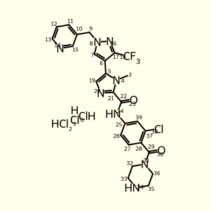 Cl.Cl.Cl.Cn1c(-c2cn(Cc3cccnc3)nc2C(F)(F)F)cnc1C(=O)Nc1ccc(C(=O)N2CCNCC2)c(Cl)c1